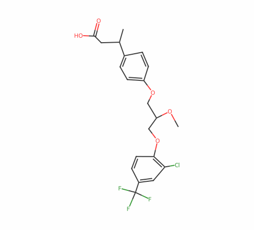 COC(COc1ccc(C(C)CC(=O)O)cc1)COc1ccc(C(F)(F)F)cc1Cl